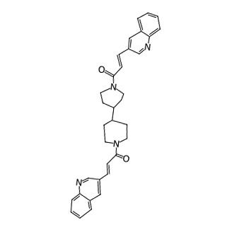 O=C(/C=C/c1cnc2ccccc2c1)N1CCC(C2CCN(C(=O)/C=C/c3cnc4ccccc4c3)CC2)CC1